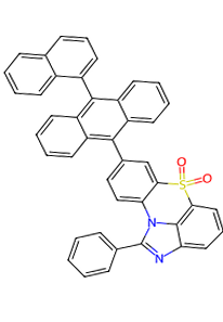 O=S1(=O)c2cc(-c3c4ccccc4c(-c4cccc5ccccc45)c4ccccc34)ccc2-n2c(-c3ccccc3)nc3cccc1c32